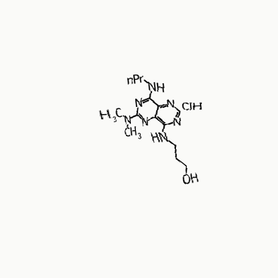 CCCNc1nc(N(C)C)nc2c(NCCCO)ncnc12.Cl